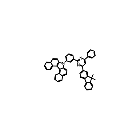 CC1(C)c2ccccc2-c2ccc(-c3cc(-c4ccccc4)nc(-c4cccc(-n5c6ccc7ccccc7c6c6c7ccccc7ccc65)c4)n3)cc21